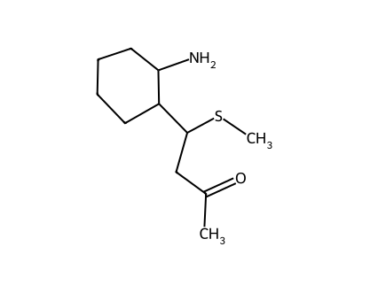 CSC(CC(C)=O)C1CCCCC1N